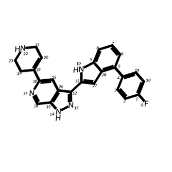 Fc1ccc(-c2cccc3[nH]c(-c4n[nH]c5cnc(C6=CCNCC6)cc45)cc23)cc1